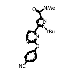 CNC(=O)c1cc(-c2ccnc(Oc3ccc(C#N)cc3)n2)n(C(C)(C)C)n1